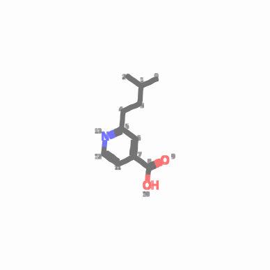 CC(C)CCc1cc(C(=O)O)ccn1